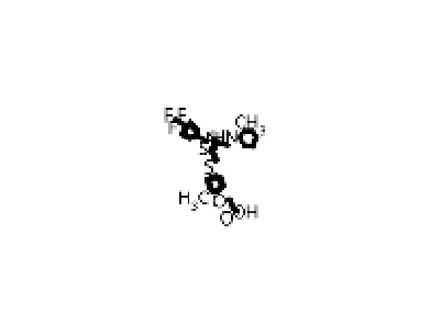 Cc1cc(SCc2sc(-c3ccc(C(F)(F)F)cc3)nc2CNC2CCCCC2C)ccc1OCC(=O)O